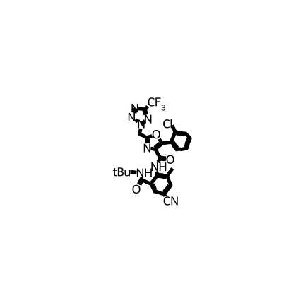 Cc1cc(C#N)cc(C(=O)NC(C)(C)C)c1NC(=O)c1nc(Cn2nnc(C(F)(F)F)n2)oc1-c1ccccc1Cl